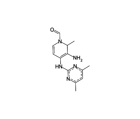 Cc1cc(C)nc(NC2=C(N)C(C)N(C=O)C=C2)n1